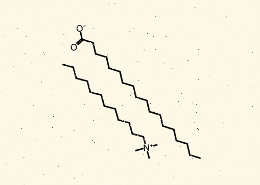 CCCCCCCCCCCCCCCCCC(=O)[O-].CCCCCCCCCCCC[N+](C)(C)C